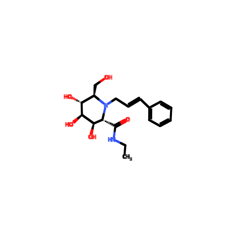 CCNC(=O)[C@@H]1[C@@H](O)[C@@H](O)[C@H](O)[C@@H](CO)N1C/C=C/c1ccccc1